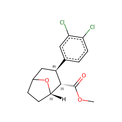 COC(=O)[C@@H]1[C@@H]2CCC(C[C@H]1c1ccc(Cl)c(Cl)c1)O2